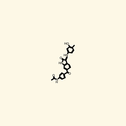 CC(=O)Nc1ccc(C(=O)c2ccc3c(c2)NC(=O)C3=CNc2ccc(C)c(O)c2)cc1